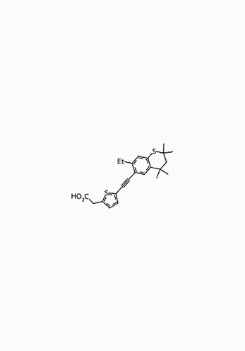 CCc1cc2c(cc1C#Cc1ccc(CC(=O)O)s1)C(C)(C)CC(C)(C)S2